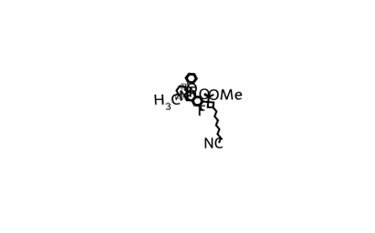 COC(=O)C1(c2cc(F)c(CN3[C@@H](C)CC[C@H](c4ccccc4)S3(=O)=O)cc2F)CC(CCCCCCCC#N)C1